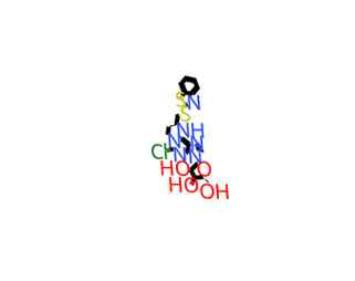 CC[C@H](CSc1nc2ccccc2s1)Nc1nc(Cl)nc2c1ncn2[C@@H]1O[C@H](CO)C(O)C1O